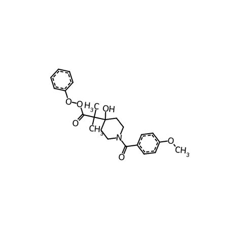 COc1ccc(C(=O)N2CCC(O)(C(C)(C)C(=O)OOc3ccccc3)CC2)cc1